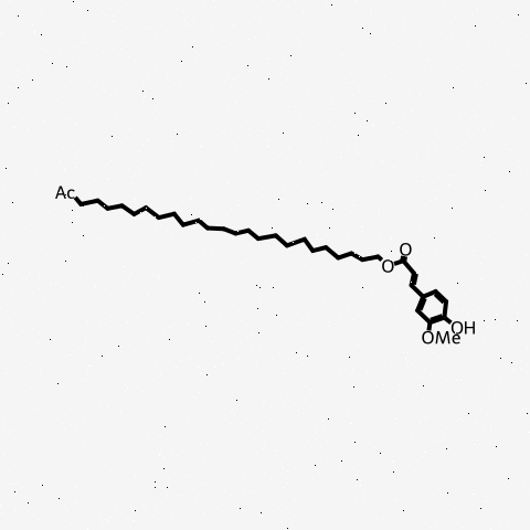 COc1cc(C=CC(=O)OCCCCCCCCCCCCCCCCCCCCCCCCC(C)=O)ccc1O